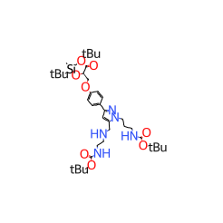 CC(C)(C)OC(=O)NCCCn1nc(-c2ccc(OC[C@@H](O[Si](C)(C)C(C)(C)C)C(=O)OC(C)(C)C)cc2)cc1CNCCNC(=O)OC(C)(C)C